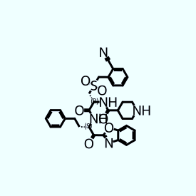 N#Cc1ccccc1CS(=O)(=O)C[C@H](NC(=O)C1CCNCC1)C(=O)N[C@@H](CCc1ccccc1)C(=O)c1nc2ccccc2o1